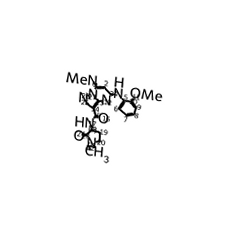 CNc1cc(Nc2ccccc2OC)nc2c(C(=O)N[C@H]3CCN(C)C3=O)cnn12